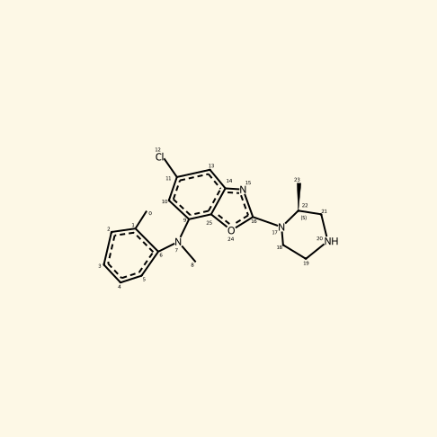 Cc1ccccc1N(C)c1cc(Cl)cc2nc(N3CCNC[C@@H]3C)oc12